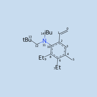 C=Cc1cc(C)c(CC)c(CC)c1N(CC(C)(C)C)C(C)CC